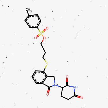 Cc1ccc(S(=O)(=O)OCCCSc2cccc3c2CN(C2CCC(=O)NC2=O)C3=O)cc1